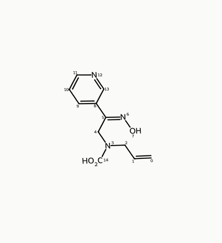 C=CCN(CC(=NO)c1cccnc1)C(=O)O